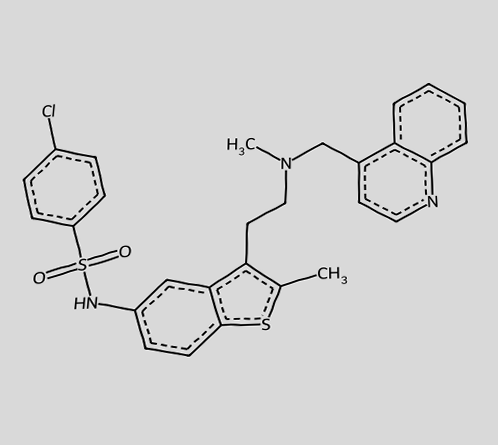 Cc1sc2ccc(NS(=O)(=O)c3ccc(Cl)cc3)cc2c1CCN(C)Cc1ccnc2ccccc12